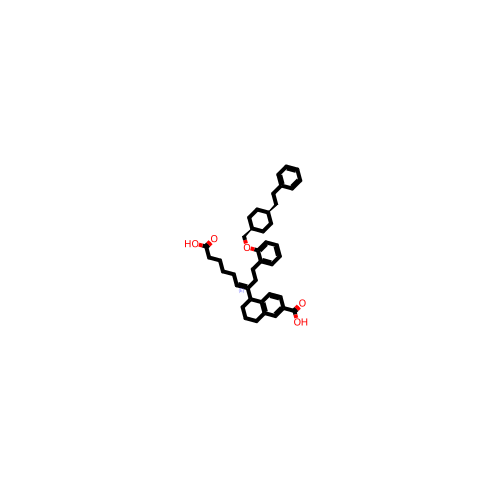 O=C(O)CCCC/C=C(\CCc1ccccc1OC[C@H]1CC[C@@H](CCc2ccccc2)CC1)C1CCCc2cc(C(=O)O)ccc21